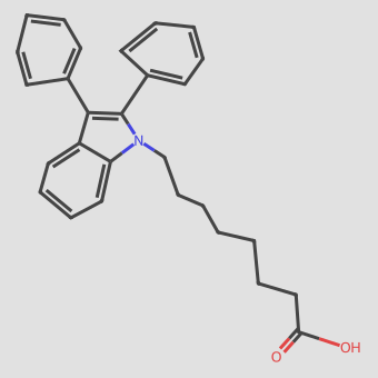 O=C(O)CCCCCCCn1c(-c2ccccc2)c(-c2ccccc2)c2ccccc21